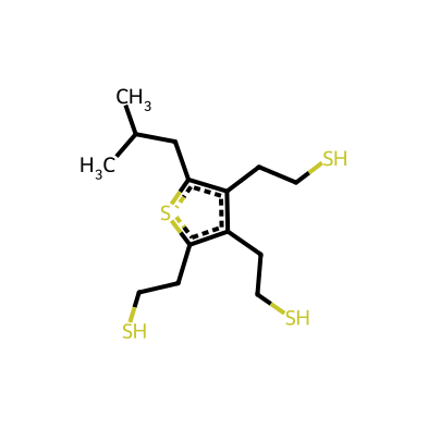 CC(C)Cc1sc(CCS)c(CCS)c1CCS